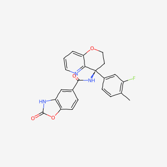 Cc1ccc([C@@]2(NC(=O)c3ccc4oc(=O)[nH]c4c3)CCOc3cccnc32)cc1F